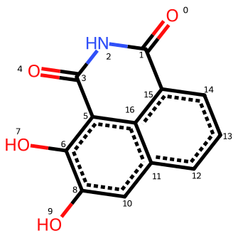 O=C1NC(=O)c2c(O)c(O)cc3cccc1c23